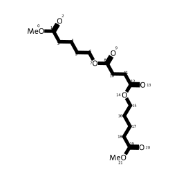 COC(=O)CCCCOC(=O)CCC(=O)OCCCCC(=O)OC